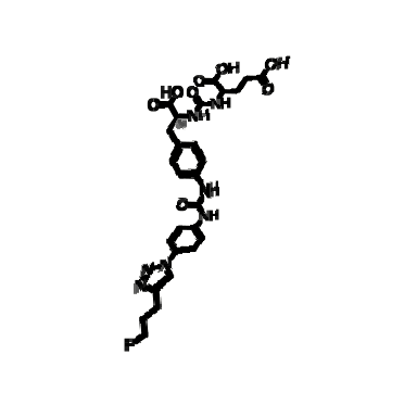 O=C(O)CCC(NC(=O)N[C@@H](Cc1ccc(NC(=O)Nc2ccc(-n3cc(CCCF)nn3)cc2)cc1)C(=O)O)C(=O)O